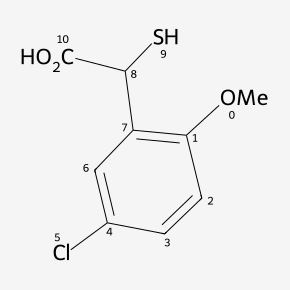 COc1ccc(Cl)cc1C(S)C(=O)O